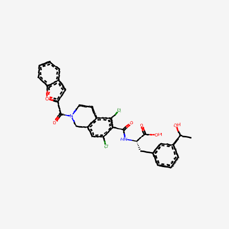 CC(O)c1cccc(C[C@H](NC(=O)c2c(Cl)cc3c(c2Cl)CCN(C(=O)c2cc4ccccc4o2)C3)C(=O)O)c1